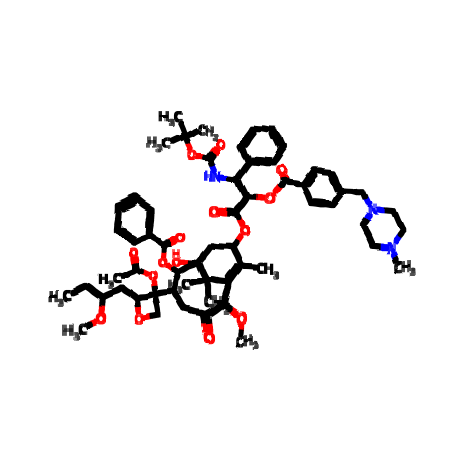 CCC(CC1OCC1(OC(C)=O)C1CC(=O)C(OC)C2=C(C)C(OC(=O)C(OC(=O)c3ccc(CN4CCN(C)CC4)cc3)C(NC(=O)OC(C)(C)C)c3ccccc3)CC(O)(C1OC(=O)c1ccccc1)C2(C)C)OC